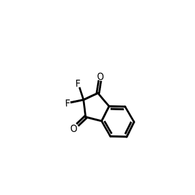 O=C1c2ccccc2C(=O)C1(F)F